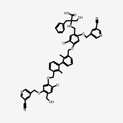 Cc1c(COc2cc(OCc3cncc(C#N)c3)c(CO)cc2Cl)cccc1-c1cccc(COc2cc(OCc3cncc(C#N)c3)c(CNC(CO)(Cc3ccccc3)C(=O)O)cc2Cl)c1C